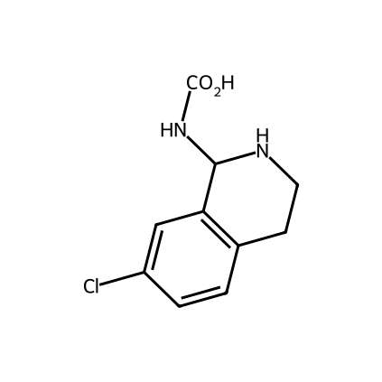 O=C(O)NC1NCCc2ccc(Cl)cc21